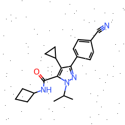 CC(C)n1nc(-c2ccc(C#N)cc2)c(C2CC2)c1C(=O)NC1CCC1